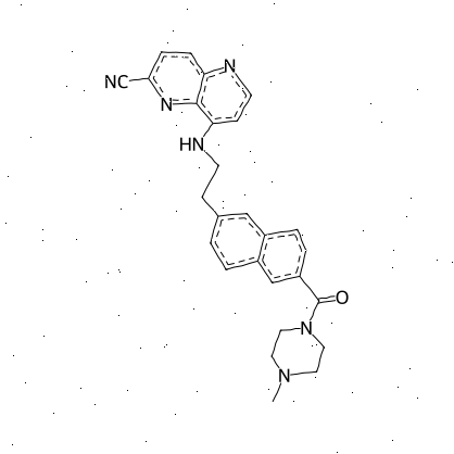 CN1CCN(C(=O)c2ccc3cc(CCNc4ccnc5ccc(C#N)nc45)ccc3c2)CC1